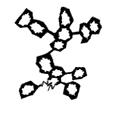 c1ccc(-c2cc3c(-c4ccc5c(-c6ccc7ccccc7c6)c6ccccc6c(-c6ccc7ccccc7c6)c5c4)cccc3c3c2c(-c2ccccc2)nn3-c2ccccc2)cc1